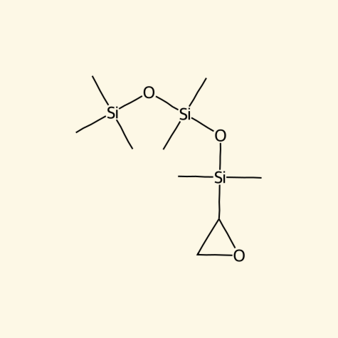 C[Si](C)(C)O[Si](C)(C)O[Si](C)(C)C1CO1